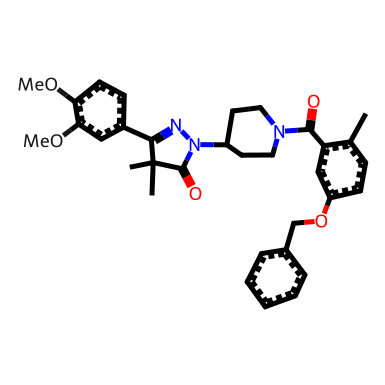 COc1ccc(C2=NN(C3CCN(C(=O)c4cc(OCc5ccccc5)ccc4C)CC3)C(=O)C2(C)C)cc1OC